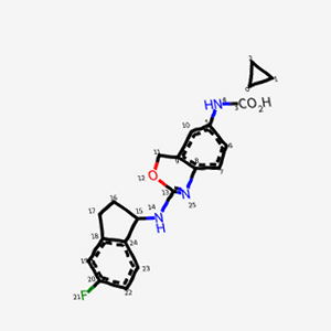 C1CC1.O=C(O)Nc1ccc2c(c1)COC(NC1CCc3cc(F)ccc31)=N2